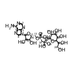 Nc1ncnc2c1ncn2[C@@H]1O[C@H](COP(=O)(O)CP(=O)(O)OC2OC([C@H](O)CO)[C@@H](O)[C@H](O)C2O)C(O)[C@@H]1O